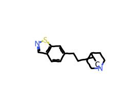 c1cc2cnsc2cc1CCC1CN2CCC1CC2